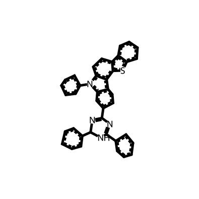 c1ccc(C2=NC(c3ccc4c5c6sc7ccccc7c6ccc5n(-c5ccccc5)c4c3)=NC(c3ccccc3)N2)cc1